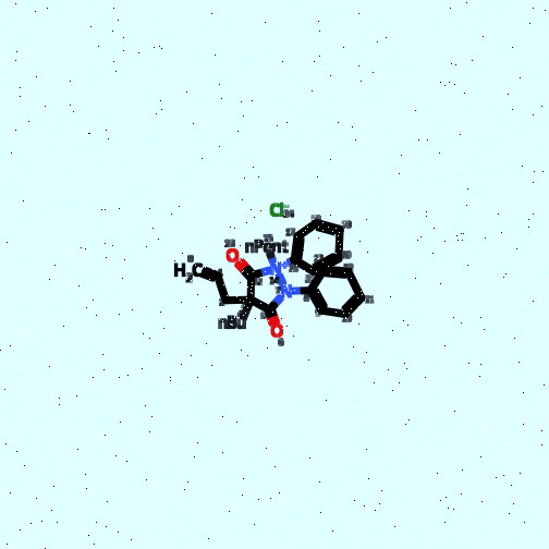 C=CCC1(CCCC)C(=O)N(c2ccccc2)[N+](CCCCC)(c2ccccc2)C1=O.[Cl-]